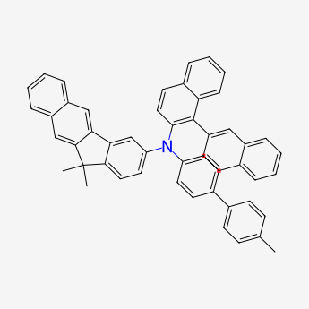 Cc1ccc(-c2ccc(N(c3ccc4c(c3)-c3cc5ccccc5cc3C4(C)C)c3ccc4ccccc4c3-c3ccc4ccccc4c3)cc2)cc1